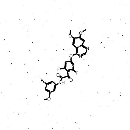 COc1cc(F)cc(NC(=O)C(=O)c2c(F)cc(Oc3ncnc4cc(OC)c(OC)cc34)cc2F)c1